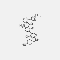 Cn1cc(C2CCCCN2C(=O)c2c(N)ccc(-c3cnc4c(c3Cl)C3(CCC(O)CC3)CN4)c2F)cn1